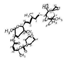 CC(/C=C/[C@H]1OC(C)(C)C[C@@]2(CO2)[C@@H]1O)=C\C[C@@H]1O[C@H](C)C(NC(=O)/C=C\[C@H](C)OC(=O)N2CCOCC2)C[C@@H]1C